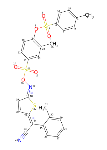 Cc1ccc(S(=O)(=O)Oc2ccc(S(=O)(=O)O/N=C3C=C/C(=C(\C#N)c4ccccc4C)S\3)cc2C)cc1